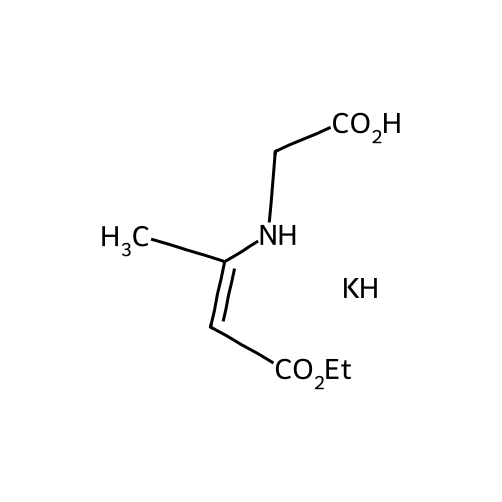 CCOC(=O)C=C(C)NCC(=O)O.[KH]